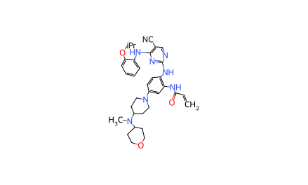 C=CC(=O)Nc1cc(N2CCC(N(C)C3CCOCC3)CC2)ccc1Nc1ncc(C#N)c(Nc2ccccc2OC(C)C)n1